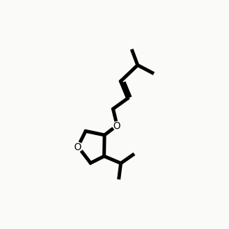 CC(C)/C=C/COC1COCC1C(C)C